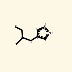 CCC(C)Cc1cnsc1